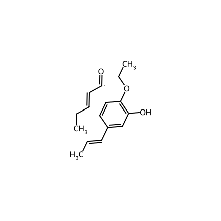 C/C=C/c1ccc(OCC)c(O)c1.CCC=C[C]=O